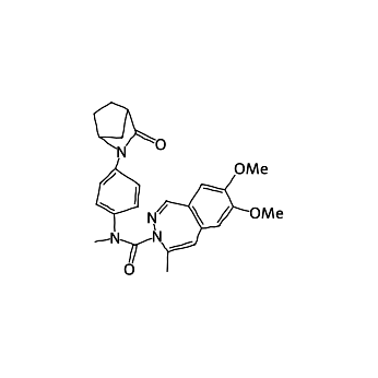 COc1cc2c(cc1OC)C=C(C)N(C(=O)N(C)c1ccc(N3C(=O)C4CCC3C4)cc1)N=C2